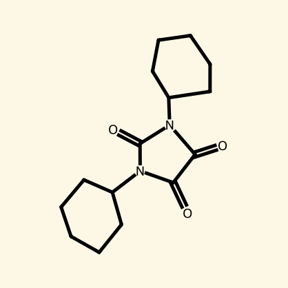 O=C1C(=O)N(C2CCCCC2)C(=O)N1C1CCCCC1